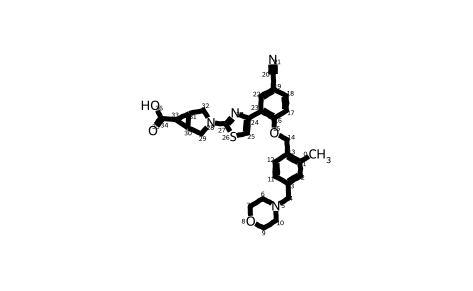 Cc1cc(CN2CCOCC2)ccc1COc1ccc(C#N)cc1-c1csc(N2CC3C(C2)C3C(=O)O)n1